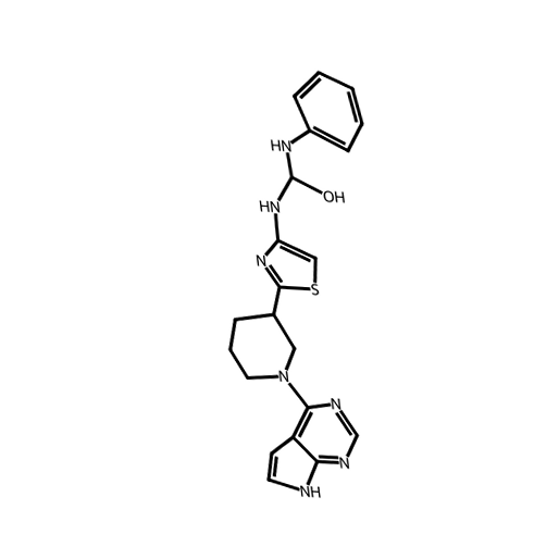 OC(Nc1ccccc1)Nc1csc(C2CCCN(c3ncnc4[nH]ccc34)C2)n1